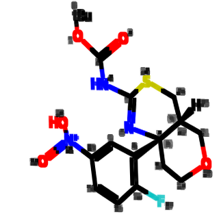 CC(C)(C)OC(=O)NC1=N[C@@]2(c3cc([N+](=O)O)ccc3F)CCOC[C@H]2CS1